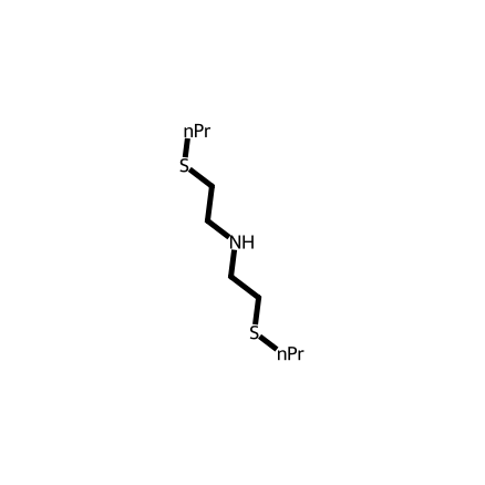 CCCSCCNCCSCCC